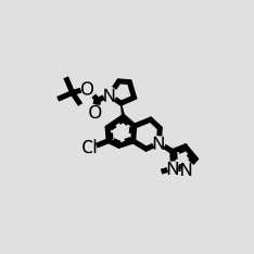 Cn1nccc1N1CCc2c(cc(Cl)cc2[C@@H]2CCCN2C(=O)OC(C)(C)C)C1